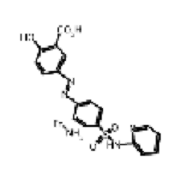 CCN.O=C(O)c1cc(N=Nc2ccc(S(=O)(=O)Nc3ccccn3)cc2)ccc1O